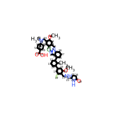 COc1cc(Cn2ncc3c(-c4cccc(-c5cc(F)c(CNC[C@@H]6CCC(=O)N6)c(OC)c5)c4C)cccc32)c(Cl)cc1CN(C)C12CCC(C(=O)O)(CC1)CC2